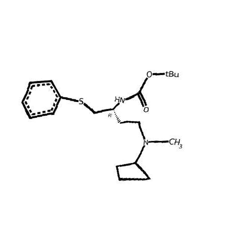 CN(CC[C@H](CSc1ccccc1)NC(=O)OC(C)(C)C)C1CCC1